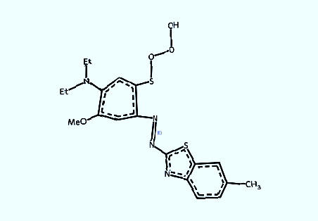 CCN(CC)c1cc(SOOO)c(/N=N/c2nc3ccc(C)cc3s2)cc1OC